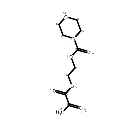 C=C(C)C(=O)OCCOC(=O)N1CCOCC1